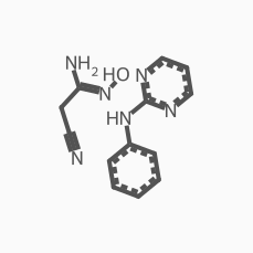 N#CCC(N)=NO.c1ccc(Nc2ncccn2)cc1